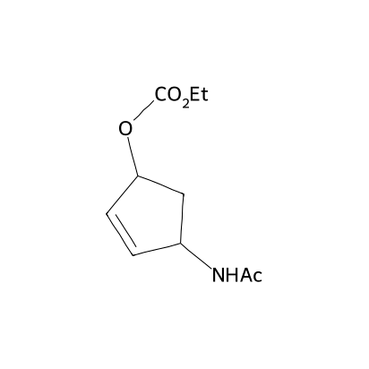 CCOC(=O)OC1C=CC(NC(C)=O)C1